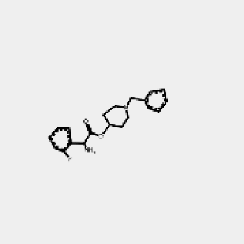 NC(C(=O)OC1CCN(Cc2ccccc2)CC1)c1ccccc1F